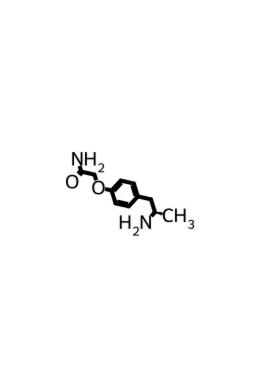 C[C@@H](N)Cc1ccc(OCC(N)=O)cc1